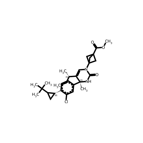 CC[C@H](C)C1=CN(C23CC(C(=O)OC)(C2)C3)C(=O)N[C@@]1(C)c1ccc([C@@H]2CC2C(C)(C)C)c(Cl)c1